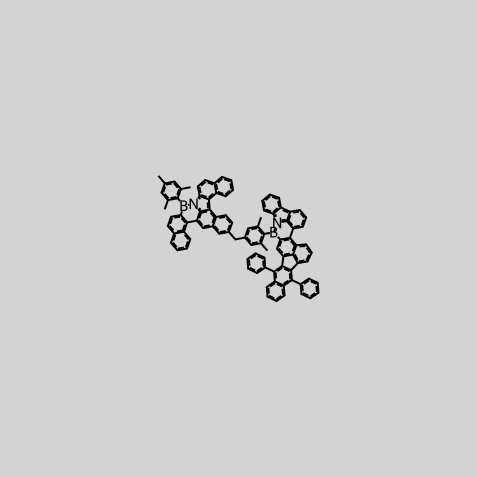 Cc1cc(C)c(B2c3ccc4ccccc4c3-c3cc4cc(Cc5cc(C)c(B6c7cc8c9c(cccc9c7-c7cccc9c%10ccccc%10n6c79)-c6c-8c(-c7ccccc7)c7ccccc7c6-c6ccccc6)c(C)c5)ccc4c4c5c6ccccc6ccc5n2c34)c(C)c1